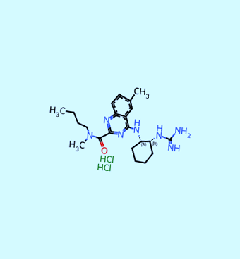 CCCCN(C)C(=O)c1nc(N[C@H]2CCCC[C@H]2NC(=N)N)c2cc(C)ccc2n1.Cl.Cl